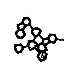 N#Cc1ccc2c(c1)c1cc(C#N)ccc1n2-c1ccc(-c2cccc3sc4ccccc4c23)cc1-c1nc(-c2ccccc2)nc(-c2ccccc2)n1